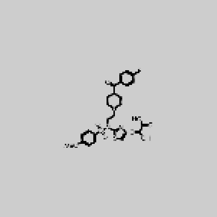 COc1ccc(S(=O)(=O)N(CCN2CCC(C(=O)c3ccc(F)cc3)CC2)c2nccs2)cc1.O=C(O)C(=O)O